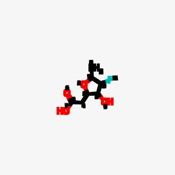 BC1OC(CC(=O)O)C(O)C1F